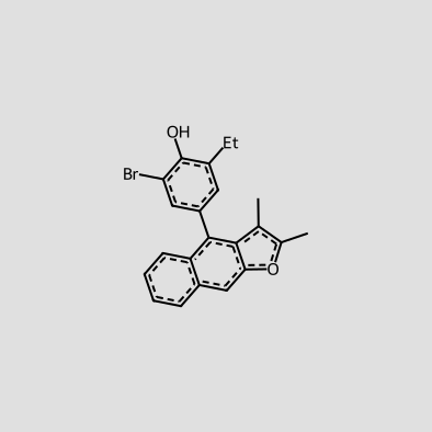 CCc1cc(-c2c3ccccc3cc3oc(C)c(C)c23)cc(Br)c1O